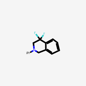 CC(C)N1Cc2ccccc2C(F)(F)C1